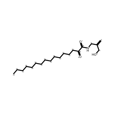 C=C(CO)CNC(=O)C(=O)CCCCCCCCCCCCCC